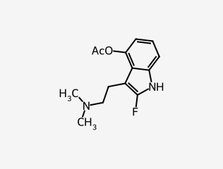 CC(=O)Oc1cccc2[nH]c(F)c(CCN(C)C)c12